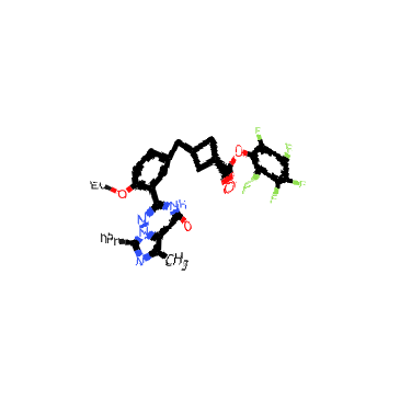 CCCc1nc(C)c2c(=O)[nH]c(-c3cc(CC4CC(C(=O)Oc5c(F)c(F)c(F)c(F)c5F)C4)ccc3OCC)nn12